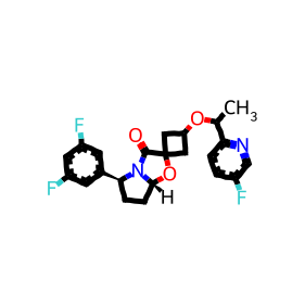 CC(OC1CC2(C1)O[C@@H]1CC[C@@H](c3cc(F)cc(F)c3)N1C2=O)c1ccc(F)cn1